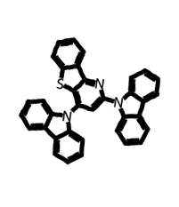 c1ccc2c(c1)sc1c(-n3c4ccccc4c4ccccc43)cc(-n3c4ccccc4c4ccccc43)nc12